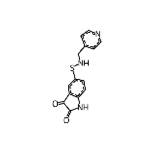 O=C1Nc2ccc(SNCc3ccncc3)cc2C1=O